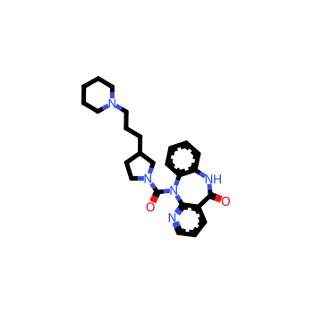 O=C1Nc2ccccc2N(C(=O)N2CCC(CCCN3CCCCC3)C2)c2ncccc21